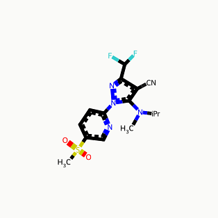 CC(C)N(C)c1c(C#N)c(C(F)F)nn1-c1ccc(S(C)(=O)=O)cn1